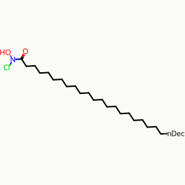 CCCCCCCCCCCCCCCCCCCCCCCCCCCCCCCC(=O)N(O)Cl